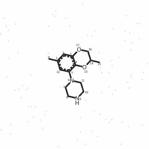 Cc1cc2c(c(N3CCNCC3)c1)OC(C)CO2